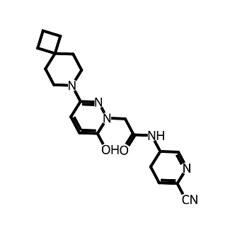 N#CC1=CCC(NC(=O)CN2N=C(N3CCC4(CCC4)CC3)C=C=C2O)C=N1